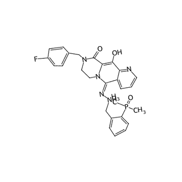 CP(C)(=O)c1ccccc1CN/N=c1\c2cccnc2c(O)c2n1CCN(Cc1ccc(F)cc1)C2=O